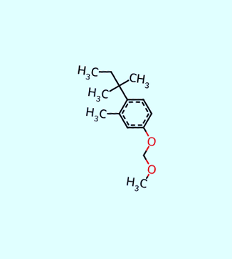 CCC(C)(C)c1ccc(OCOC)cc1C